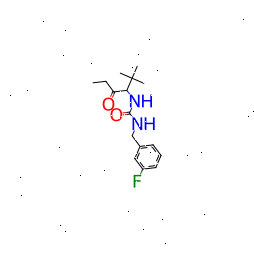 CCC(=O)C(NC(=O)NCc1cccc(F)c1)C(C)(C)C